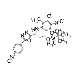 [C-]#[N+]c1ccc(-c2nnc([C@@H](CCO[Si](C)(C)C(C)(C)C)Nc3ccc([N+]#[C-])c(Cl)c3C)o2)cc1